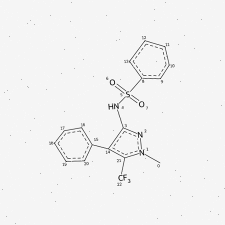 Cn1nc(NS(=O)(=O)c2ccccc2)c(-c2ccccc2)c1C(F)(F)F